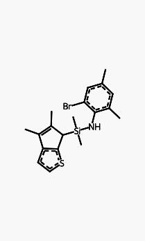 CC1=C(C)C([Si](C)(C)Nc2c(C)cc(C)cc2Br)c2sccc21